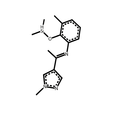 CC(=Nc1cccc(C)c1O[SiH](C)C)c1cnn(C)c1